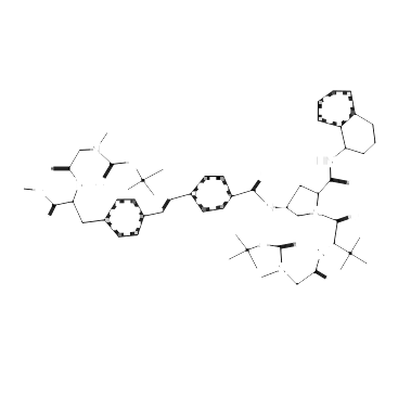 COC(=O)C(Cc1ccc(/C=C/c2ccc(C(=O)N[C@H]3CC(C(=O)NC4CCCc5ccccc54)N(C(=O)[C@@H](NC(=O)[C@H](C)N(C)C(=O)OC(C)(C)C)C(C)(C)C)C3)cc2)cc1)NC(=O)[C@H](C)N(C)C(=O)OC(C)(C)C